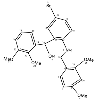 COc1ccc(CNc2ccc(Br)cc2C(O)c2cccc(OC)c2OC)c(OC)c1